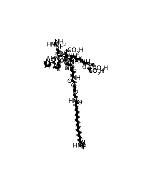 CN1CCC[C@H]1C(=O)N1CCC[C@H]1C(=O)N[C@@H](CCCNC(=N)N)C(=O)N[C@@H](CC(=O)O)C(=O)N[C@@H](CCCCNC(=O)CN(CC(=O)O)CC(=O)O)C(=O)N[C@@H](CCCCNC(=O)COCCOCCNC(=O)CCCCCCCCCCCCCCCc1nnn[nH]1)C(N)=O